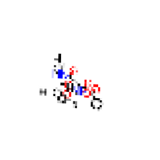 CCNC(=O)CCC(NC(=O)OC(C)(C)C)C(=O)OC(=O)c1ccccc1